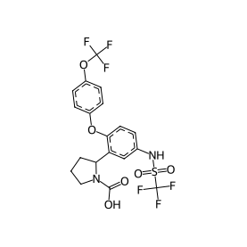 O=C(O)N1CCCC1c1cc(NS(=O)(=O)C(F)(F)F)ccc1Oc1ccc(OC(F)(F)F)cc1